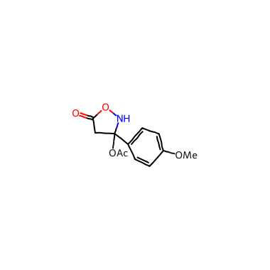 COc1ccc(C2(OC(C)=O)CC(=O)ON2)cc1